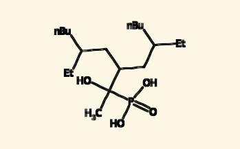 CCCCC(CC)CC(CC(CC)CCCC)C(C)(O)P(=O)(O)O